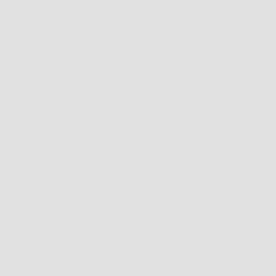 CCCC(C)CP(CCC)c1ccccc1